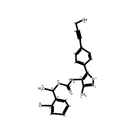 Cc1noc(-c2ccc(C#CCO)cc2)c1NC(=O)OC(C)c1ccccc1Cl